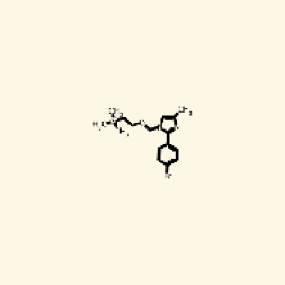 Cc1cn(COCC[Si](C)(C)C)c(-c2ccc(Br)cc2)n1